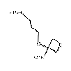 CCCCCCCCOC1(C=O)COC1